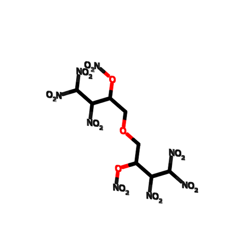 O=[N+]([O-])OC(COCC(O[N+](=O)[O-])C(C([N+](=O)[O-])[N+](=O)[O-])[N+](=O)[O-])C(C([N+](=O)[O-])[N+](=O)[O-])[N+](=O)[O-]